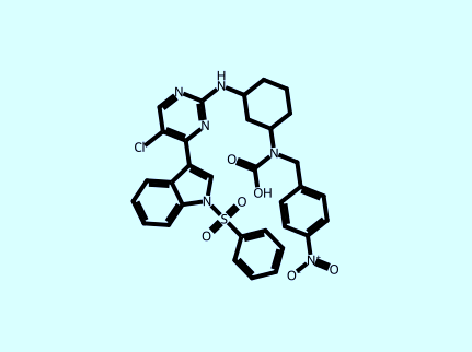 O=C(O)N(Cc1ccc([N+](=O)[O-])cc1)C1CCCC(Nc2ncc(Cl)c(-c3cn(S(=O)(=O)c4ccccc4)c4ccccc34)n2)C1